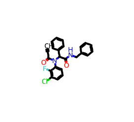 C#CC(=O)N(c1cccc(Cl)c1F)C(C(=O)NCc1ccccc1)c1ccccc1